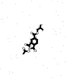 CC(=O)ON1C(=O)c2ccc(C(=O)OCC(C)C)cc2C1=O